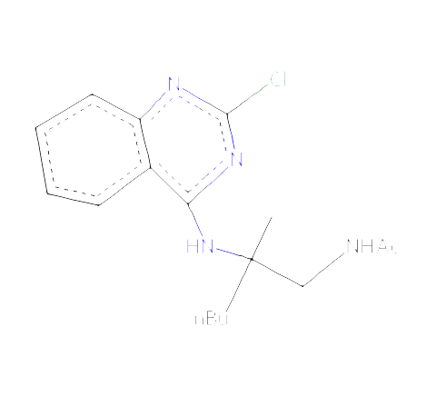 CCCCC(C)(CNC(C)=O)Nc1nc(Cl)nc2ccccc12